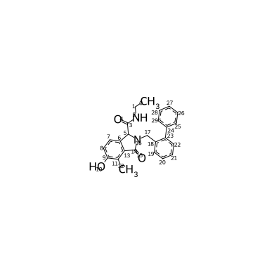 CCNC(=O)C1c2ccc(O)c(C)c2C(=O)N1Cc1ccccc1-c1ccccc1